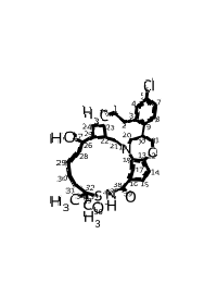 CCCc1cc(Cl)ccc1C1COc2ccc3cc2N(C1)CC1CCC1C(O)/C=C/CCC(C)(C)[S+]([O-])NC3=O